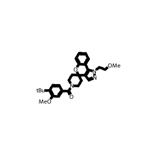 COCCn1ncc2c1-c1ccccc1OC21CCN(C(=O)c2ccc(C(C)(C)C)c(OC)c2)CC1